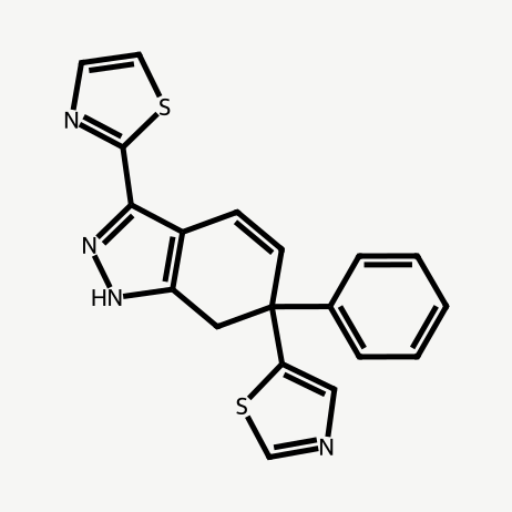 C1=CC(c2ccccc2)(c2cncs2)Cc2[nH]nc(-c3nccs3)c21